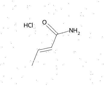 CC=CC(N)=O.Cl